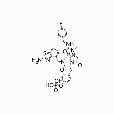 CN(C(=O)NCc1ccc(F)cc1)N1CC(=O)N2[C@H]1CN(Cc1cccc3sc(N)nc13)C(=O)[C@@H]2Cc1ccc(OP(=O)(O)O)cc1